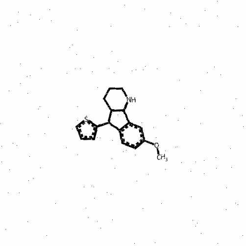 COc1ccc2c(c1)C1NCCCC1C2c1cccs1